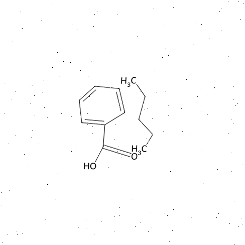 CCCCC.O=C(O)c1ccccc1